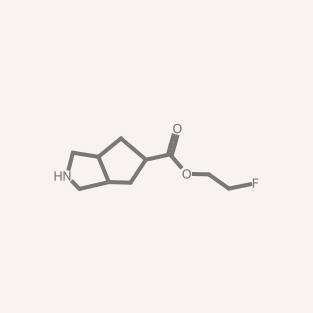 O=C(OCCF)C1CC2CNCC2C1